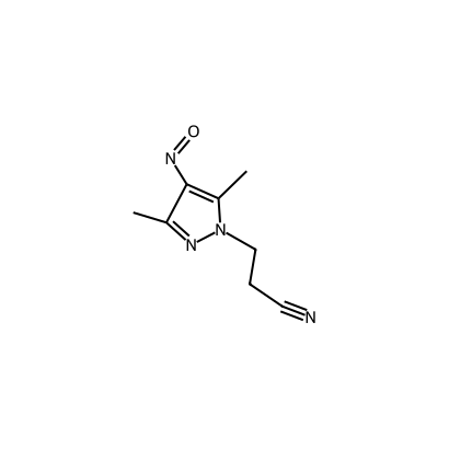 Cc1nn(CCC#N)c(C)c1N=O